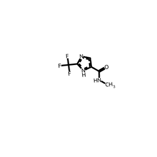 CNC(=O)c1cnc(C(F)(F)F)[nH]1